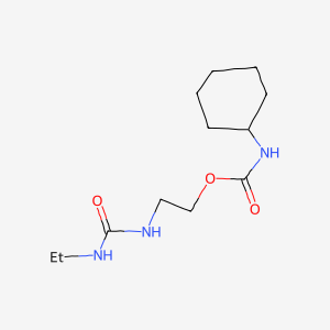 CCNC(=O)NCCOC(=O)NC1CCCCC1